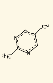 [CH]c1ncc(O)cn1